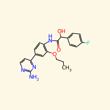 CCCOc1cc(-c2ccnc(N)n2)ccc1NC(=O)C(O)c1ccc(F)cc1